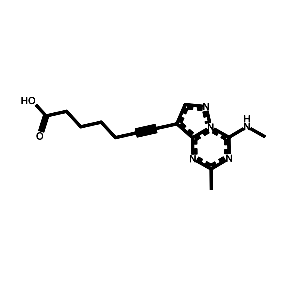 CNc1nc(C)nc2c(C#CCCCCC(=O)O)cnn12